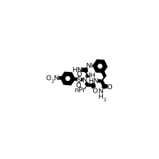 CCC[C@@H](C(=O)N[C@@H](Cc1ccccc1)C(N)=O)N(NC(=N)N)S(=O)(=O)c1ccc([N+](=O)[O-])cc1